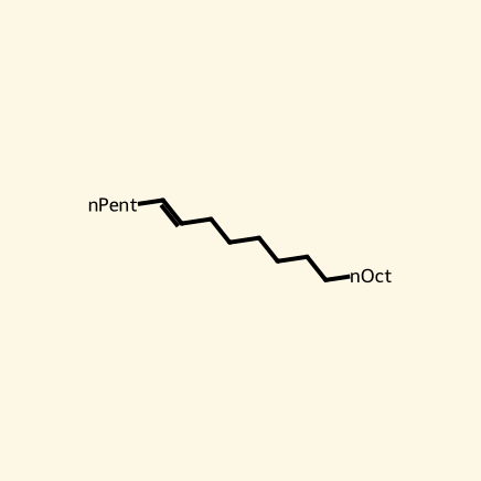 CCCCC/C=C/CCCCCCCCCCCCCC